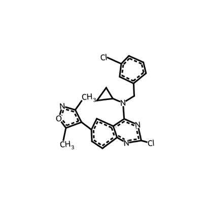 Cc1noc(C)c1-c1ccc2nc(Cl)nc(N(Cc3cccc(Cl)c3)C3CC3)c2c1